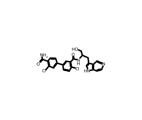 NC(=O)c1ccc(-c2ccc(Cl)c(C(=O)NC(CO)Cc3c[nH]c4ccncc34)c2)cc1Cl